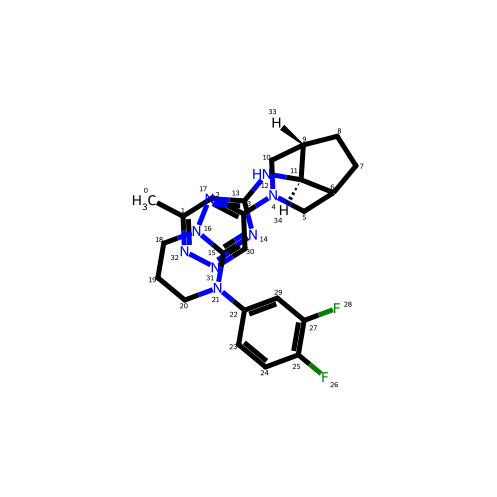 Cc1cc(N2CC3CC[C@@H](C2)[C@@H]3Nc2nc3n(n2)CCCN3c2ccc(F)c(F)c2)cnn1